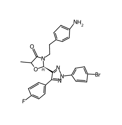 CC1O[C@H](c2nn(-c3ccc(Br)cc3)nc2-c2ccc(F)cc2)N(CCc2ccc(N)cc2)C1=O